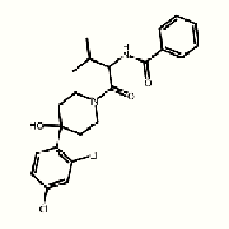 CC(C)C(NC(=O)c1ccccc1)C(=O)N1CCC(O)(c2ccc(Cl)cc2Cl)CC1